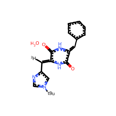 O.[2H]/C(c1cn(C(C)(C)C)cn1)=c1/[nH]c(=O)/c(=C/c2ccccc2)[nH]c1=O